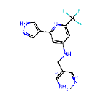 C/N=C\C(=C/N)CNc1cc(-c2cn[nH]c2)nc(C(F)(F)F)c1